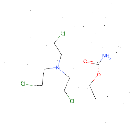 CCOC(N)=O.ClCCN(CCCl)CCCl